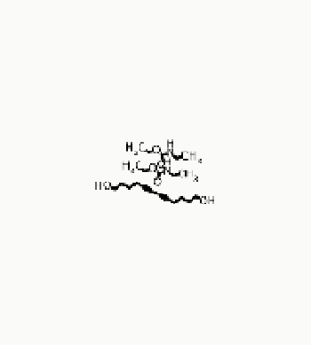 CCNC(=O)OCC.CCNC(=O)OCC.OCCCCC#CC#CCCCCO